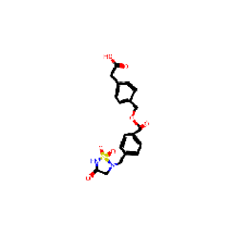 O=C(O)Cc1ccc(COC(=O)c2ccc(CN3CC(=O)NS3(=O)=O)cc2)cc1